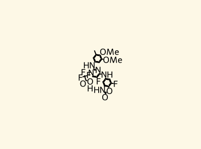 COc1cc(Nc2ncc(F)c(Nc3cc(F)c4oc(=O)[nH]c4c3)n2)cc(C)c1OC.O=C(O)C(F)(F)F